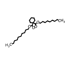 CCCCCCCCCCOC(=O)C1(C(=O)OCCCCCCCCC)CCCCC1